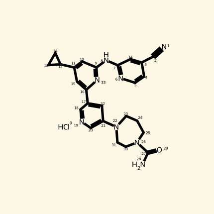 Cl.N#Cc1ccnc(Nc2cc(C3CC3)cc(-c3cncc(N4CCCN(C(N)=O)CC4)c3)n2)c1